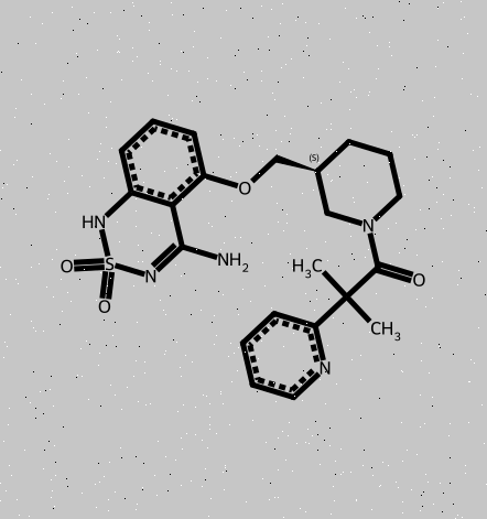 CC(C)(C(=O)N1CCC[C@H](COc2cccc3c2C(N)=NS(=O)(=O)N3)C1)c1ccccn1